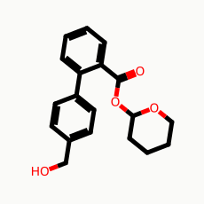 O=C(OC1CCCCO1)c1ccccc1-c1ccc(CO)cc1